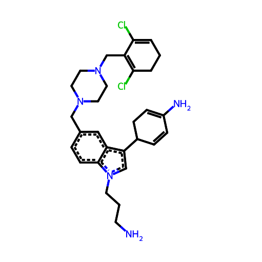 NCCCn1cc(C2C=CC(N)=CC2)c2cc(CN3CCN(CC4=C(Cl)CCC=C4Cl)CC3)ccc21